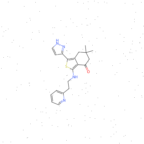 CC1(C)CC(=O)c2c(NCCc3ccccn3)sc(-c3cc[nH]n3)c2C1